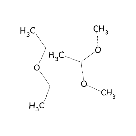 CCOCC.COC(C)OC